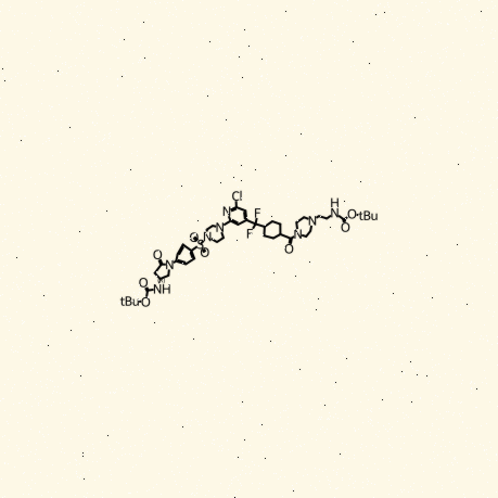 CC(C)(C)OC(=O)NCCN1CCN(C(=O)C2CCC(C(F)(F)c3cc(Cl)nc(N4CCN(S(=O)(=O)c5ccc(N6C[C@H](NC(=O)OC(C)(C)C)CC6=O)cc5)CC4)c3)CC2)CC1